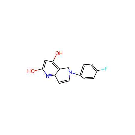 Oc1cc(O)c2c(n1)C=CN(c1ccc(F)cc1)C2